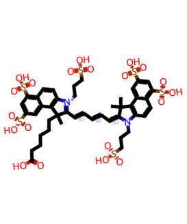 CC1(CCCCCC(=O)O)C(/C=C/C=C/C=C2/N(CCCS(=O)(=O)O)c3ccc4c(S(=O)(=O)O)cc(S(=O)(=O)O)cc4c3C2(C)C)=[N+](CCCS(=O)(=O)O)c2ccc3c(S(=O)(=O)O)cc(S(=O)(=O)O)cc3c21